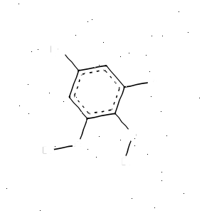 CCOc1cc(C)cc(Br)c1OCC